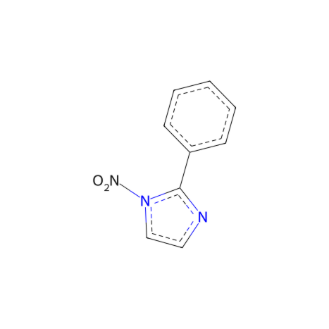 O=[N+]([O-])n1ccnc1-c1ccccc1